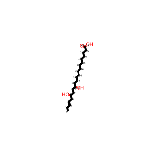 CCC=CCC(O)CCC(O)CCCCCCCCCCCCC(=O)O